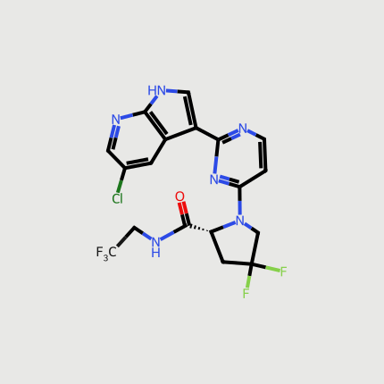 O=C(NCC(F)(F)F)[C@H]1CC(F)(F)CN1c1ccnc(-c2c[nH]c3ncc(Cl)cc23)n1